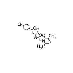 Cc1ncc(C)n(Cc2nc(C[C@H](O)c3ccc(Cl)cc3)no2)c1=O